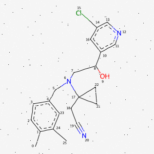 Cc1ccc(CN(CC(O)c2cncc(Cl)c2)C2(CC#N)CC2)cc1C